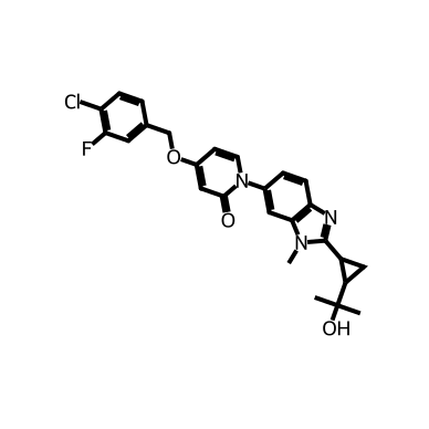 Cn1c(C2CC2C(C)(C)O)nc2ccc(-n3ccc(OCc4ccc(Cl)c(F)c4)cc3=O)cc21